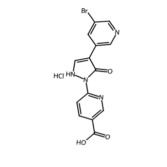 Cl.O=C(O)c1ccc(-n2[nH]cc(-c3cncc(Br)c3)c2=O)nc1